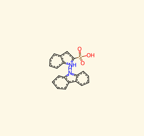 O=S(=O)(O)c1cc2ccccc2[nH]1.c1ccc2c(c1)[nH]c1ccccc12